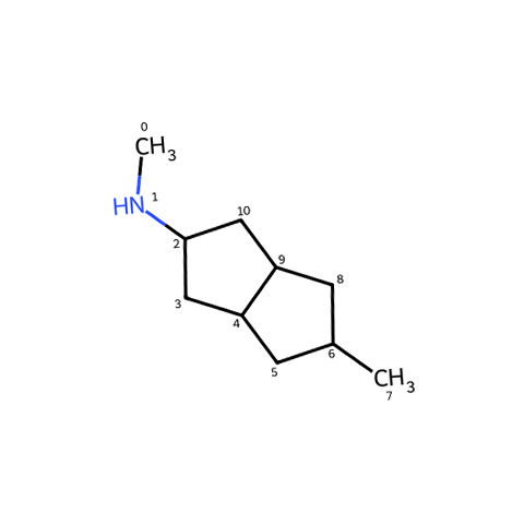 CNC1CC2CC(C)CC2C1